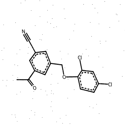 CC(=O)c1cc(C#N)cc(COc2ccc(Cl)cc2Cl)c1